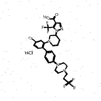 Cl.O=C(O)c1cnn(C2CCCN(c3cc(Cl)ccc3-c3ccc(N4CCN(CCC(F)(F)F)CC4)cc3)C2)c1C(F)(F)F